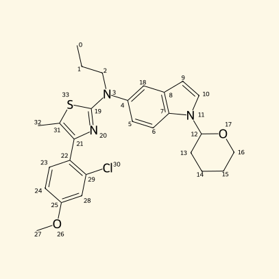 CCCN(c1ccc2c(ccn2C2CCCCO2)c1)c1nc(-c2ccc(OC)cc2Cl)c(C)s1